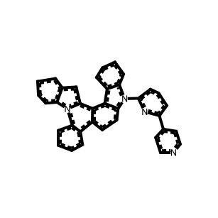 c1cc(-c2ccncc2)nc(-n2c3ccccc3c3c4c(ccc32)c2ccccc2n2c3ccccc3cc42)c1